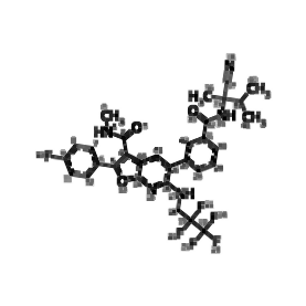 CNC(=O)c1c(-c2ccc(F)cc2)oc2nc(NCC(F)(F)C(F)(F)F)c(-c3cccc(C(=O)NC(C)(C#N)C(C)C)c3)cc12